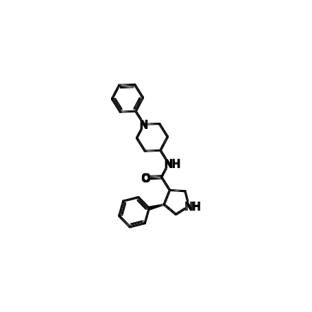 O=C(NC1CCN(c2ccccc2)CC1)C1CNC[C@H]1c1ccccc1